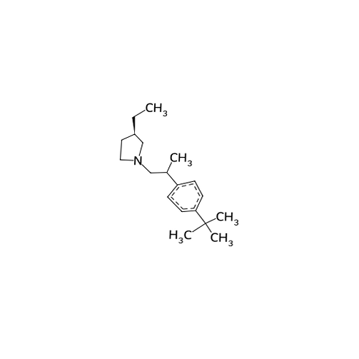 CC[C@@H]1CCN(CC(C)c2ccc(C(C)(C)C)cc2)C1